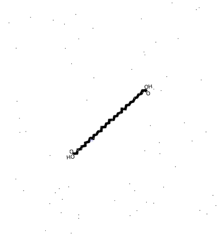 O=C(O)C=CCCCCCCCCCCCCCCCCCCCCCCC/C=C/CCCCCCCC(=O)O